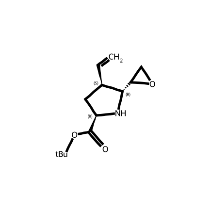 C=C[C@@H]1C[C@H](C(=O)OC(C)(C)C)N[C@H]1C1CO1